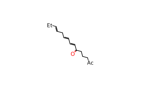 CCC=CCC=CC=CC(=O)CCCC(C)=O